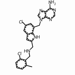 Cc1cccc(Cl)c1CNCc1cc2cc(Cl)cc(Cn3cnc4c(N)ncnc43)c2[nH]1